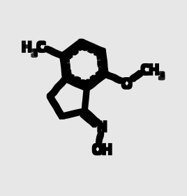 COc1ccc(C)c2c1C(=NO)CC2